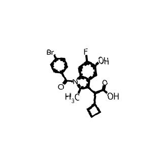 Cc1c(C(C(=O)O)C2CCC2)c2cc(O)c(F)cc2n1C(=O)c1ccc(Br)cc1